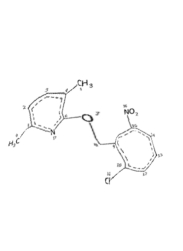 Cc1ccc(C)c(OCc2c(Cl)cccc2[N+](=O)[O-])n1